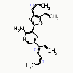 C=C/C(=C\C=C/C)c1cnc(N)c(-c2nc(/C=C\C)c(C=C)o2)n1